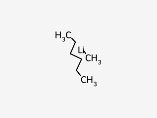 CCCCCC.[Li][CH3]